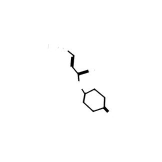 O=C(O)C=CC(=O)OC1CCC(=O)CC1